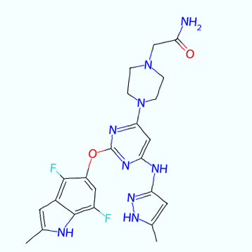 Cc1cc(Nc2cc(N3CCN(CC(N)=O)CC3)nc(Oc3cc(F)c4[nH]c(C)cc4c3F)n2)n[nH]1